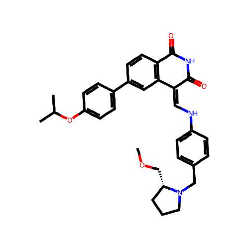 COC[C@H]1CCCN1Cc1ccc(N/C=C2\C(=O)NC(=O)c3ccc(-c4ccc(OC(C)C)cc4)cc32)cc1